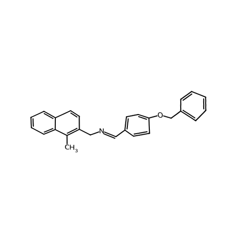 Cc1c(CN=Cc2ccc(OCc3ccccc3)cc2)ccc2ccccc12